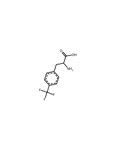 NC(Cc1ccc(C(F)(F)F)cc1)C(=O)O